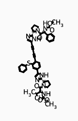 COC(=O)N[C@H](C(=O)N1CCC[C@H]1c1ncc(-c2ccc(C#CC#Cc3cnc([C@@H]4CCCN4C(=O)[C@H](NC(=O)OC)c4ccccc4)[nH]3)c(Sc3ccccc3)c2)[nH]1)C(C)C